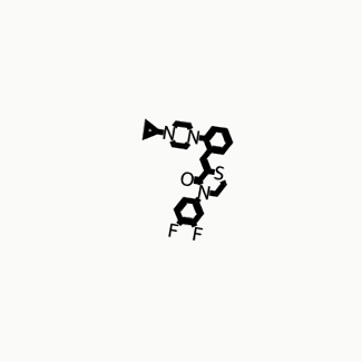 O=C1/C(=C/c2ccccc2N2CCN(C3CC3)CC2)SCCN1c1ccc(F)c(F)c1